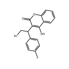 CC(=O)CC(c1ccc(F)cc1)c1c(O)c2ccccc2oc1=O